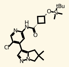 CC1(C)Cc2c(-c3cc(NC(=O)[C@H]4C[C@@H](O[Si](C)(C)C(C)(C)C)C4)ncc3Cl)cnn2C1